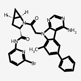 Cc1cc(-c2ccccc2)cc2c3c(N)ncnc3n(CC(=O)N3[C@@H]4C[C@@H]4C[C@H]3C(=O)Nc3cccc(Br)n3)c12